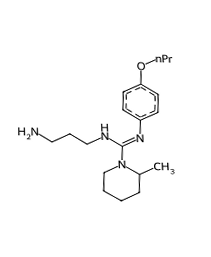 CCCOc1ccc(/N=C(\NCCCN)N2CCCCC2C)cc1